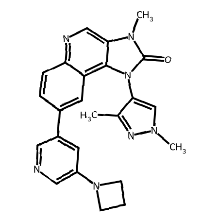 Cc1nn(C)cc1-n1c(=O)n(C)c2cnc3ccc(-c4cncc(N5CCC5)c4)cc3c21